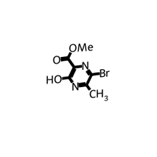 COC(=O)c1nc(Br)c(C)nc1O